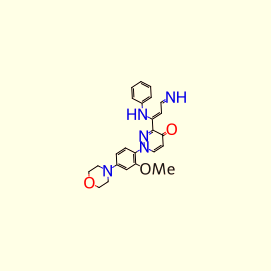 COc1cc(N2CCOCC2)ccc1-n1ccc(=O)c(/C(=C/C=N)Nc2ccccc2)n1